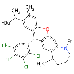 C=c1cc2c(cc1C(C)CCCC)=C(c1cc(Cl)c(Cl)c(Cl)c1Cl)c1cc3c(cc1O2)N(CC)CCCC3C